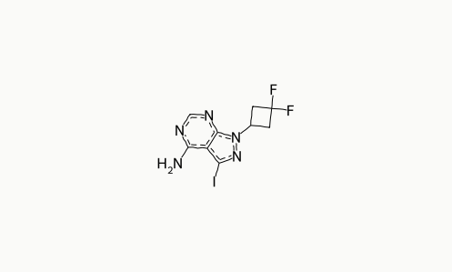 Nc1ncnc2c1c(I)nn2C1CC(F)(F)C1